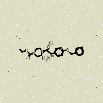 CCOC(=O)N1CCN(C(=O)[C@@H](N)c2ccc(OCc3ccccc3)cc2)CC1.Cl